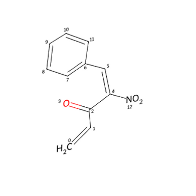 C=CC(=O)C(=Cc1ccccc1)[N+](=O)[O-]